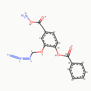 [N-]=[N+]=NCOc1cc(C(=O)ON)ccc1OC(=O)c1ccccc1